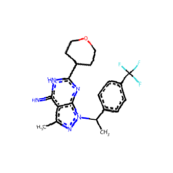 Cc1nn(C(C)c2ccc(C(F)(F)F)cc2)c2nc(C3CCOCC3)[nH]c(=N)c12